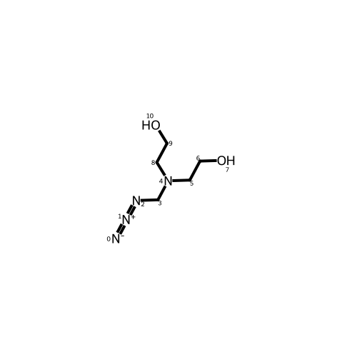 [N-]=[N+]=NCN(CCO)CCO